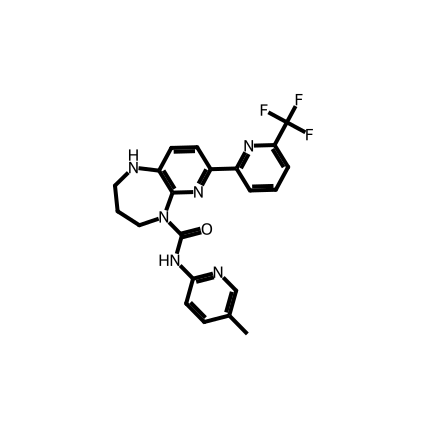 Cc1ccc(NC(=O)N2CCCNc3ccc(-c4cccc(C(F)(F)F)n4)nc32)nc1